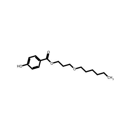 CCCCCCOCCCOC(=O)c1ccc(O)cc1